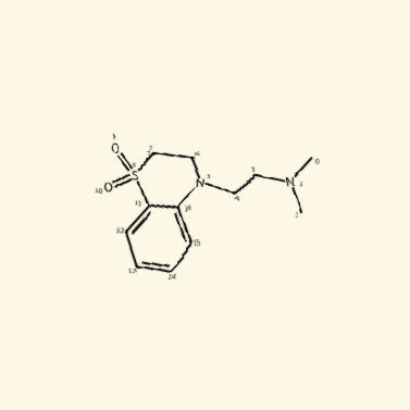 CN(C)CCN1C[C]S(=O)(=O)c2ccccc21